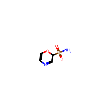 NS(=O)(=O)C1C=NC=CO1